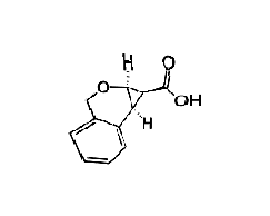 O=C(O)[C@@H]1[C@@H]2OCc3ccccc3[C@@H]21